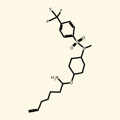 C=CCCCCC(N)OC1CCC(N(C)S(=O)(=O)c2ccc(C(F)(F)F)cc2)CC1